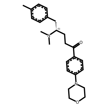 Cc1ccc(C[C@H](CCC(=O)c2ccc(N3CCOCC3)cc2)N(C)C)cc1